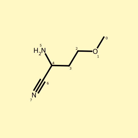 COCCC(N)C#N